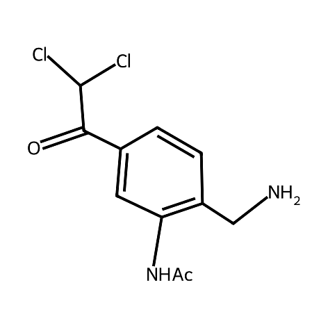 CC(=O)Nc1cc(C(=O)C(Cl)Cl)ccc1CN